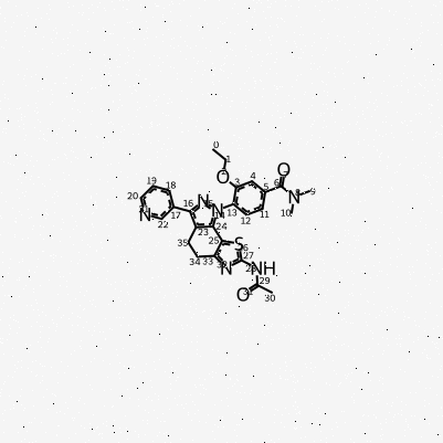 CCOc1cc(C(=O)N(C)C)ccc1-n1nc(-c2cccnc2)c2c1-c1sc(NC(C)=O)nc1CC2